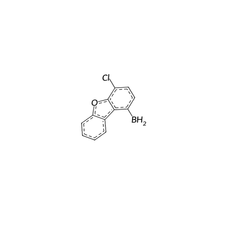 Bc1ccc(Cl)c2oc3ccccc3c12